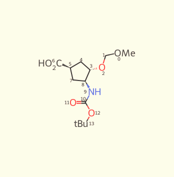 COCO[C@H]1C[C@H](C(=O)O)C[C@@H]1NC(=O)OC(C)(C)C